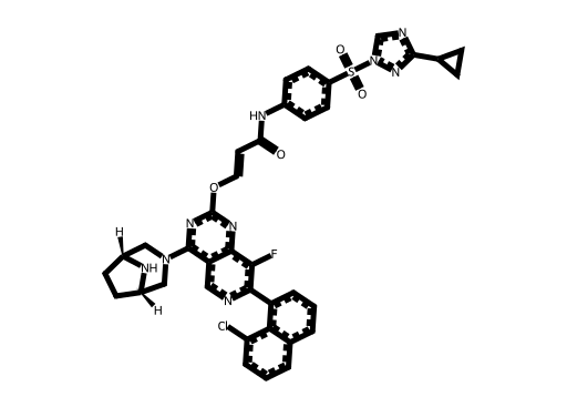 O=C(C=COc1nc(N2C[C@H]3CC[C@@H](C2)N3)c2cnc(-c3cccc4cccc(Cl)c34)c(F)c2n1)Nc1ccc(S(=O)(=O)n2cnc(C3CC3)n2)cc1